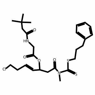 CN(C(=O)CC(/C=C/CCCl)OC(=O)CNC(=O)CC(C)(C)C)C(=S)SCCCc1ccccc1